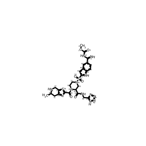 COC(=O)NC(=N)c1ccc2[nH]c(S(=O)(=O)N3CCN(C(=O)c4nc5c(s4)CNC(C)C5)C(C(=O)NCc4nnn[nH]4)C3)cc2c1